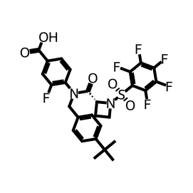 CC(C)(C)c1ccc(CN(C(=O)[C@H]2CCN2S(=O)(=O)c2c(F)c(F)c(F)c(F)c2F)c2ccc(C(=O)O)cc2F)cc1